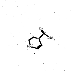 NC(=O)N1C=CNCC1